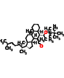 CC(C)CCC[C@@H](C)[C@H]1CC[C@H]2[C@@H]3C(=C=O)[C@@H](C(C)O[Si](C)(C)C(C)(C)C)[C@@H]4CCCC[C@]4(C)[C@H]3CC[C@]12C